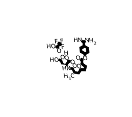 CC(Cc1ccc(C(=O)Oc2ccc(C(=N)N)cc2)o1)C(=O)N[C@@H](CC(=O)O)C(=O)O.O=C(O)C(F)(F)F